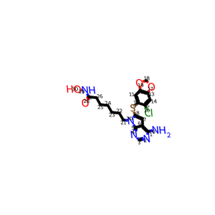 Nc1ncnc2c1cc(Sc1cc3c(cc1Cl)OCO3)n2CCCCCCC(=O)NO